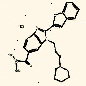 CCCCN(CCCC)C(=O)c1ccc2nc(-c3cc4ccccc4o3)n(CCCN3CCCCC3)c2c1.Cl